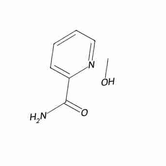 CO.NC(=O)c1ccccn1